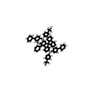 Cn1c2ccccc2c2c3c(cc(N(c4ccc(-c5ccccc5)cc4)c4ccc(C(C)(C)C)cc4)c21)C1(c2ccccc2-c2ccccc21)c1cc(N(c2ccc(-c4ccccc4)cc2)c2ccc(C(C)(C)C)cc2)ccc1-3